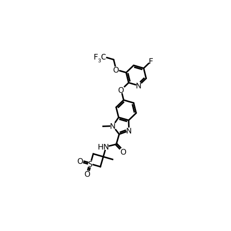 Cn1c(C(=O)NC2(C)CS(=O)(=O)C2)nc2ccc(Oc3ncc(F)cc3OCC(F)(F)F)cc21